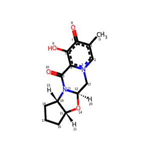 Cc1cn2c(c(O)c1=O)C(=O)N1[C@@H](C2)O[C@@H]2CCC[C@@H]21